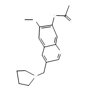 COc1cc2cc(CN3CCCC3)cnc2cc1NC(C)=O